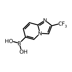 OB(O)c1ccc2nc(C(F)(F)F)cn2c1